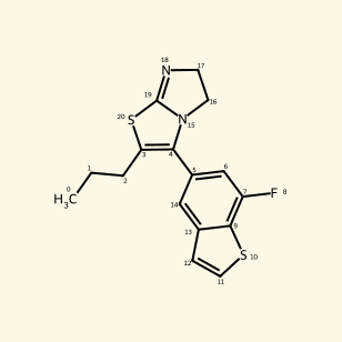 CCCC1=C(c2cc(F)c3sccc3c2)N2CCN=C2S1